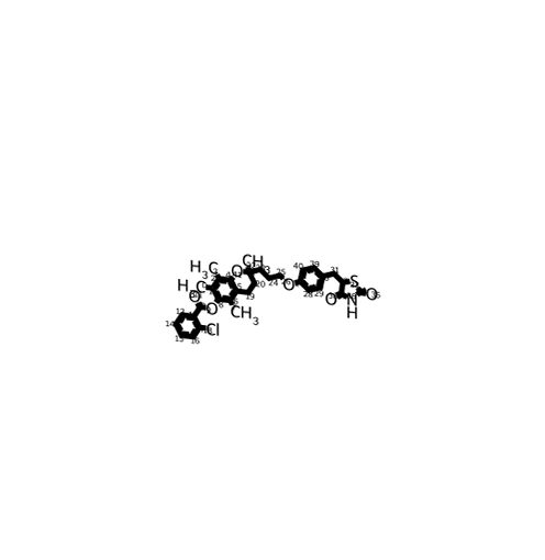 Cc1c(C)c2c(c(C)c1OC(=O)c1ccccc1Cl)CCC(C)(CCCOc1ccc(CC3SC(=O)NC3=O)cc1)O2